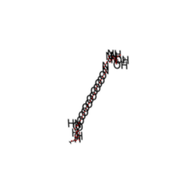 CCCCc1nc2c(N)nc3cc(CCCN4CCN(CCCOCCOCCOCCOCCOCCOCCOCCOCCOCCOCCOCCOCCNC(=O)O[C@H]5CC[C@@]6(C)C(=CC[C@H]7[C@@H]8CC[C@H]([C@H](C)CCCC(C)C)[C@@]8(C)CC[C@@H]76)C5)CC4)ccc3c2n1CC(C)(CO)CO